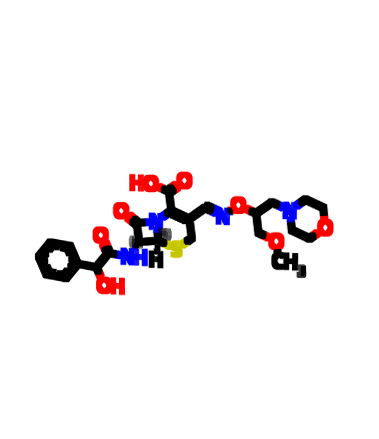 COCC(CN1CCOCC1)ON=CC1=C(C(=O)O)N2C(=O)[C@@H](NC(=O)C(O)c3ccccc3)[C@@H]2SC1